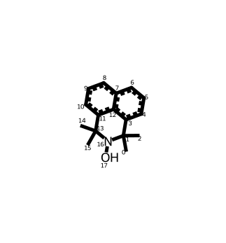 CC1(C)c2cccc3cccc(c23)C(C)(C)N1O